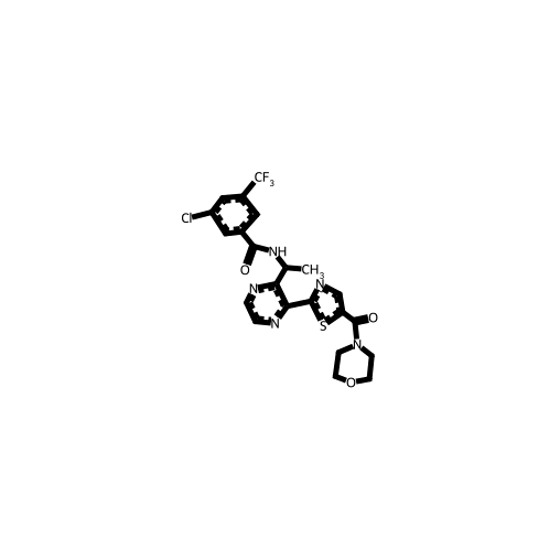 CC(NC(=O)c1cc(Cl)cc(C(F)(F)F)c1)c1nccnc1-c1ncc(C(=O)N2CCOCC2)s1